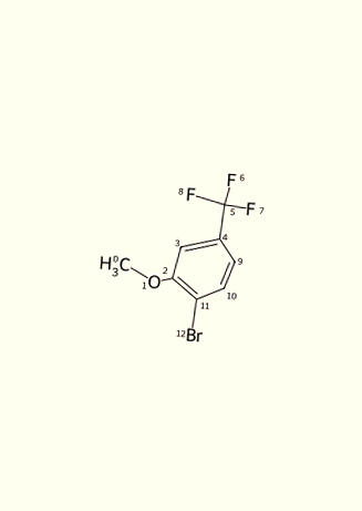 COc1cc(C(F)(F)F)ccc1Br